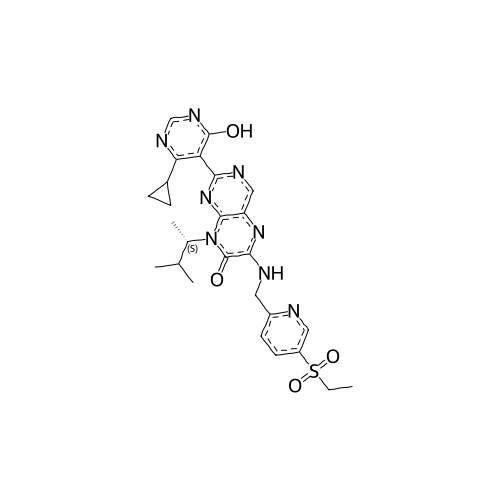 CCS(=O)(=O)c1ccc(CNc2nc3cnc(-c4c(O)ncnc4C4CC4)nc3n([C@@H](C)C(C)C)c2=O)nc1